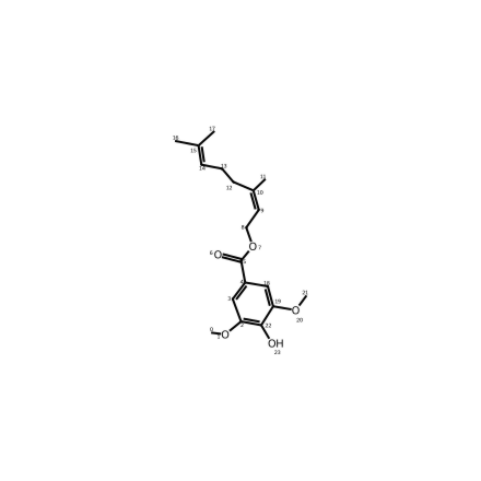 COc1cc(C(=O)OCC=C(C)CCC=C(C)C)cc(OC)c1O